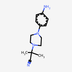 CC(C)(C#N)N1CCN(c2ccc(N)cc2)CC1